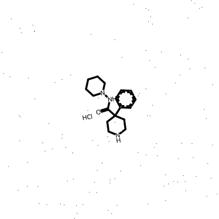 Cl.O=C(NN1CCCCC1)C1(c2ccccc2)CCNCC1